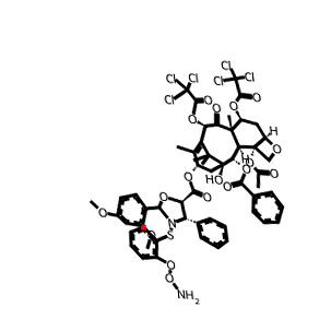 COc1ccc(C2O[C@@H](C(=O)O[C@H]3C[C@@]4(O)[C@@H](OC(=O)c5ccccc5)[C@@H]5[C@]6(OC(C)=O)CO[C@@H]6C[C@H](OC(=O)C(Cl)(Cl)Cl)[C@@]5(C)C(=O)[C@H](OC(=O)C(Cl)(Cl)Cl)C(=C3C)C4(C)C)[C@H](c3ccccc3)N2Sc2ccccc2OON)c(OC)c1